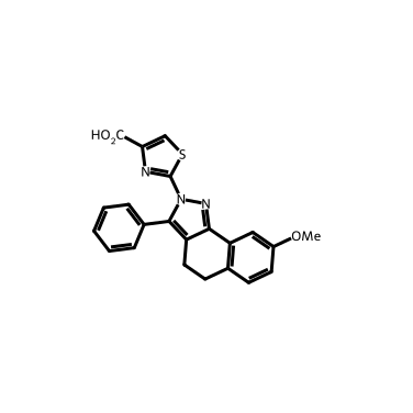 COc1ccc2c(c1)-c1nn(-c3nc(C(=O)O)cs3)c(-c3ccccc3)c1CC2